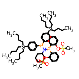 CCCC[Si](CCCC)(CCCC)c1ccc(P(c2ccc([Si](CCCC)(CCCC)CCCC)cc2)N(C2CCCCC2)P(c2ccccc2OS(C)(=O)=O)c2ccccc2OS(C)(=O)=O)cc1